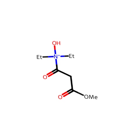 CC[N+](O)(CC)C(=O)CC(=O)OC